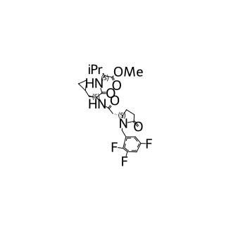 COC(=O)[C@@H](NC(=O)[C@H](CC1CC1)NC(=O)C[C@@H]1CCC(=O)N1Cc1cc(F)cc(F)c1F)C(C)C